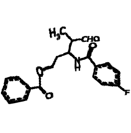 CC(C=O)C(CCOC(=O)c1ccccc1)NC(=O)c1ccc(F)cc1